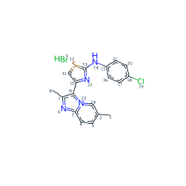 Br.Cc1ccc2nc(C)c(-c3csc(Nc4ccc(Cl)cc4)n3)n2c1